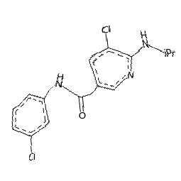 CC(C)Nc1ncc(C(=O)Nc2cccc(Cl)c2)cc1Cl